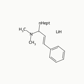 CCCCCCC[C](C=Cc1ccccc1)N(C)C.[LiH]